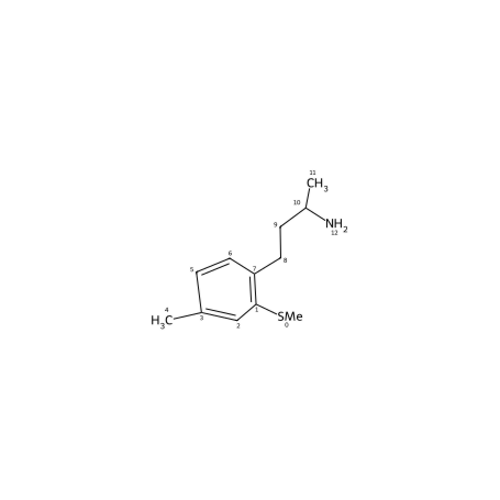 CSc1cc(C)ccc1CCC(C)N